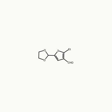 CCc1sc(C2OCCO2)cc1C=O